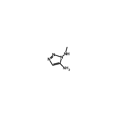 CNn1nncc1N